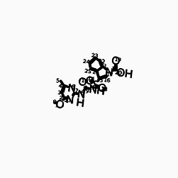 COc1cc(C)nc(NC(=O)NS(=O)(=O)c2cn(C(=O)O)c3ccccc23)n1